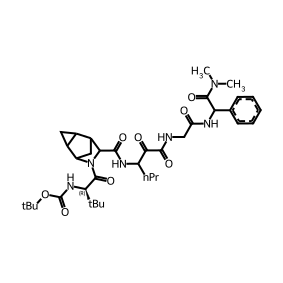 CCCC(NC(=O)C1C2CC(C3CC32)N1C(=O)[C@H](NC(=O)OC(C)(C)C)C(C)(C)C)C(=O)C(=O)NCC(=O)NC(C(=O)N(C)C)c1ccccc1